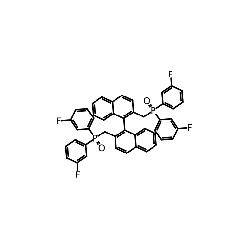 O=P(Cc1ccc2ccccc2c1-c1c(CP(=O)(c2cccc(F)c2)c2cccc(F)c2)ccc2ccccc12)(c1cccc(F)c1)c1cccc(F)c1